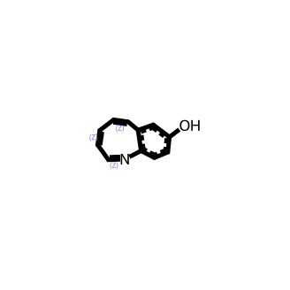 Oc1ccc2c(c1)\C=C/C=C\C=N/2